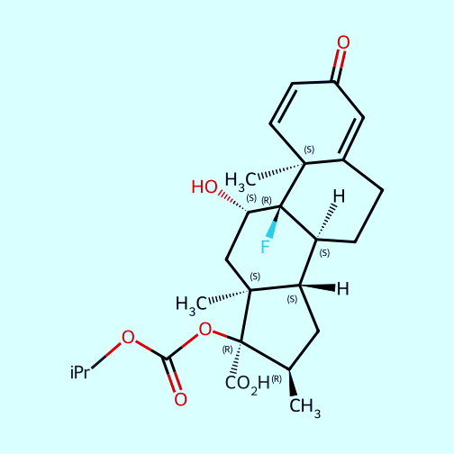 CC(C)OC(=O)O[C@]1(C(=O)O)[C@H](C)C[C@H]2[C@@H]3CCC4=CC(=O)C=C[C@]4(C)[C@@]3(F)[C@@H](O)C[C@@]21C